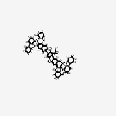 Cc1cccc(C)c1N(c1ccc2cc3c(cc2c1)oc1c(C(C)C)c2c(cc13)oc1cc3cc(N(c4c(C)cccc4C)c4cccc5c4oc4ccccc45)ccc3cc12)c1cccc2c1oc1ccccc12